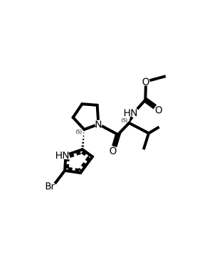 COC(=O)N[C@H](C(=O)N1CCC[C@H]1c1ccc(Br)[nH]1)C(C)C